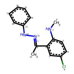 CNc1ccc(Cl)cc1/C(C)=N/Nc1ccccc1